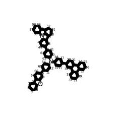 c1ccc2c(c1)oc1cc(-c3ccc(N(c4ccc(-c5ccc6c7ccccc7c7ccccc7c6c5)cc4)c4ccc(-c5ccc6c(c5)c5cccc7c8ccccc8n6c75)cc4)cc3)ccc12